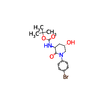 CC(C)(C)OC(=O)N[C@H]1C[C@H](O)CN(c2ccc(Br)cc2)C1=O